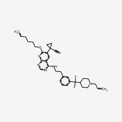 C=CCCCCOc1nc2ncnc(NCCc3cccc(C(F)(F)C4CCN(CC=C)CC4)c3)c2cc1C1(C#N)CC1